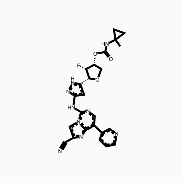 CC1(NC(=O)O[C@@H]2CO[C@H](c3cc(Nc4ncc(-c5cccnc5)c5nc(C#N)cn45)n[nH]3)[C@@H]2F)CC1